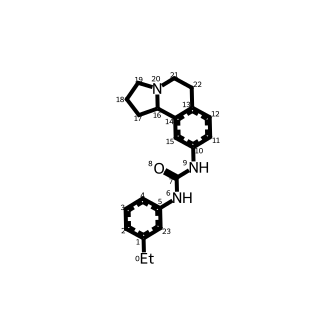 CCc1cccc(NC(=O)Nc2ccc3c(c2)C2CCCN2CC3)c1